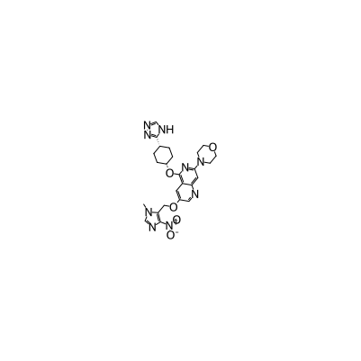 Cn1cnc([N+](=O)[O-])c1COc1cnc2cc(N3CCOCC3)nc(O[C@H]3CC[C@@H](c4nnc[nH]4)CC3)c2c1